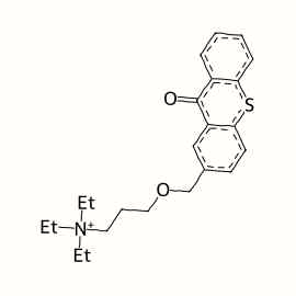 CC[N+](CC)(CC)CCCOCc1ccc2sc3ccccc3c(=O)c2c1